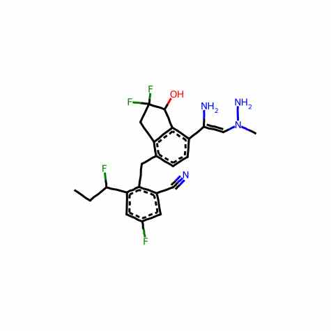 CCC(F)c1cc(F)cc(C#N)c1Cc1ccc(/C(N)=C/N(C)N)c2c1CC(F)(F)C2O